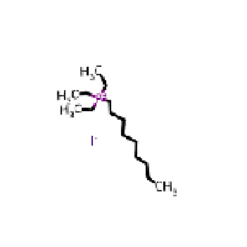 CCCCCCCCC[P+](CC)(CC)CC.[I-]